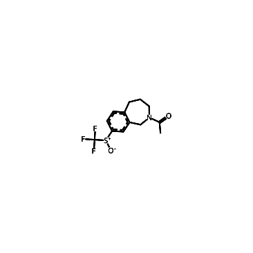 CC(=O)N1CCCc2ccc([S+]([O-])C(F)(F)F)cc2C1